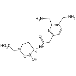 NCc1ccc(CC(=O)N[C@H]2CC[C@@H](CC(=O)O)OB2O)nc1CN